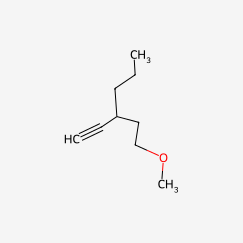 C#CC(CCC)CCOC